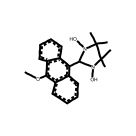 COc1c2ccccc2c(C2N(O)C(C)(C)C(C)(C)N2O)c2ccccc12